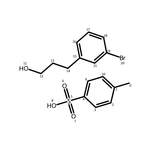 Cc1ccc(S(=O)(=O)O)cc1.OCCCc1cccc(Br)c1